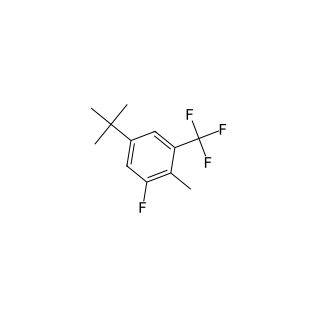 Cc1c(F)cc(C(C)(C)C)cc1C(F)(F)F